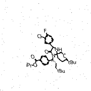 CC(C)OC(=O)c1ccc([C@@H](CCC(C)(C)C)N2C(=O)C(c3ccc(F)c(Cl)c3)NC23CCC(C(C)(C)C)CC3)cc1